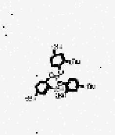 CC(C)(C)C1=CC(C(C)(C)C)CC=C1OP(OC1=CCC(C(C)(C)C)C=C1C(C)(C)C)Oc1ccc(C(C)(C)C)cc1C(C)(C)C